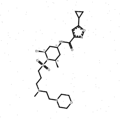 CC[C@H]1C[C@@H](NC(=O)c2cc(C3CC3)on2)C[C@@H](C)N1S(=O)(=O)CCCN(C)CCN1CCOCC1